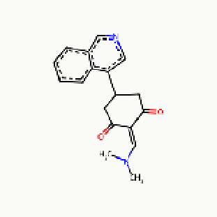 CN(C)C=C1C(=O)CC(c2cncc3ccccc23)CC1=O